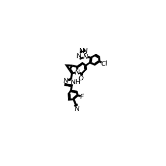 N#Cc1ccc(-c2cnc(C3=C4CC4c4cc(-c5cc(Cl)ccc5-n5cnnn5)cc(=O)n43)[nH]2)cc1F